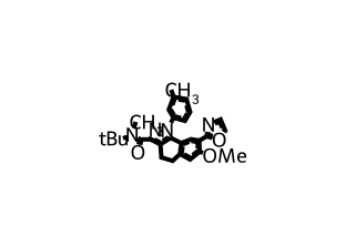 COc1cc2c(cc1-c1ncco1)-c1c(c(C(=O)N(C)C(C)(C)C)nn1-c1cccc(C)c1)CC2